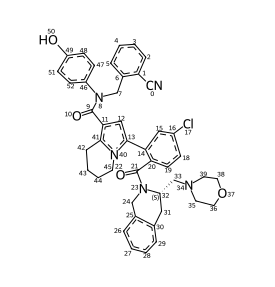 N#Cc1ccccc1CN(C(=O)c1cc(-c2cc(Cl)ccc2C(=O)N2Cc3ccccc3C[C@H]2CN2CCOCC2)n2c1CCCC2)c1ccc(O)cc1